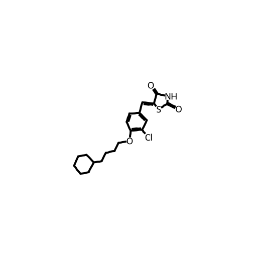 O=C1NC(=O)C(=Cc2ccc(OCCCCC3CCCCC3)c(Cl)c2)S1